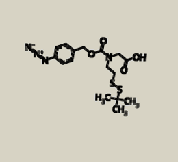 CC(C)(C)SSCCN(CC(=O)O)C(=O)OCc1ccc(N=[N+]=[N-])cc1